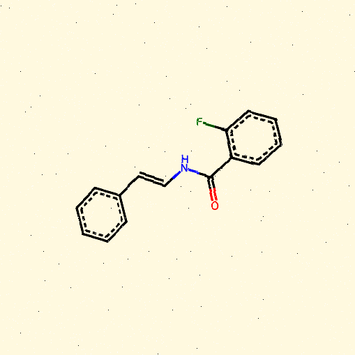 O=C(NC=Cc1ccccc1)c1ccccc1F